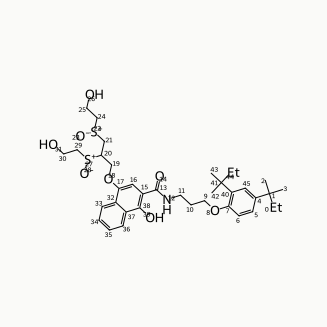 CCC(C)(C)c1ccc(OCCCNC(=O)c2cc(OCC(C[S+]([O-])CCO)[S+]([O-])CCO)c3ccccc3c2O)c(C(C)(C)CC)c1